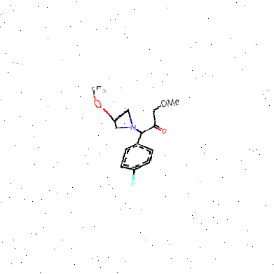 COCC(=O)C(c1ccc(F)cc1)N1CC(OC(F)(F)F)C1